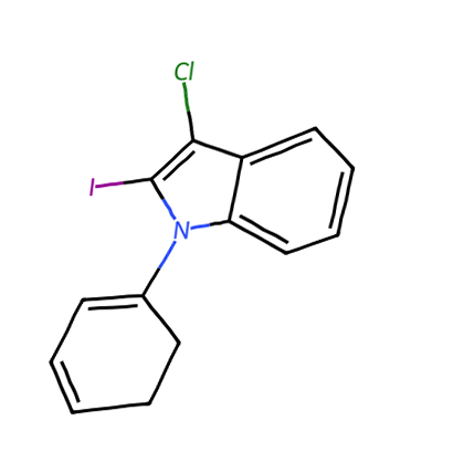 Clc1c(I)n(C2=CC=CCC2)c2ccccc12